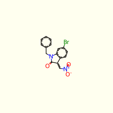 O=C1/C(=C/[N+](=O)[O-])c2ccc(Br)cc2N1Cc1ccccc1